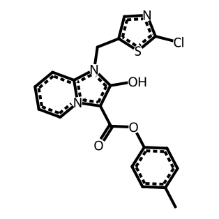 Cc1ccc(OC(=O)c2c(O)n(Cc3cnc(Cl)s3)c3cccc[n+]23)cc1